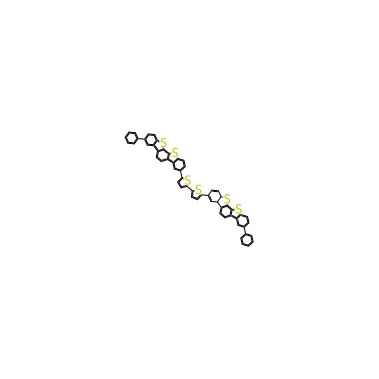 C1=CC2Sc3c(ccc4c3sc3ccc(-c5ccccc5)cc34)C2C=C1c1ccc(-c2ccc(-c3ccc4sc5c(ccc6c7cc(-c8ccccc8)ccc7sc65)c4c3)s2)s1